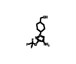 Nc1cn(C2CCC(CO)CC2)nc1OC(F)(F)F